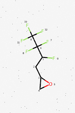 FC(CC1CO1)C(F)(F)C(F)(F)F